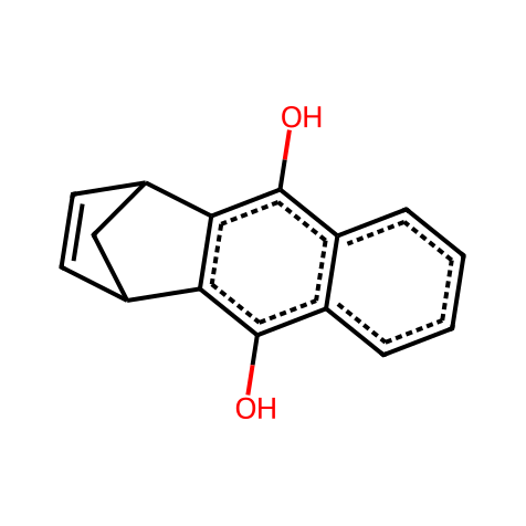 Oc1c2c(c(O)c3ccccc13)C1C=CC2C1